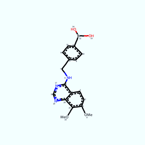 COc1ccc2c(NCc3ccc(B(O)O)cc3)ncnc2c1OC